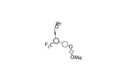 COC1CC(OC2CCC(c3cc(C#CCOC(C)C)cc(C(F)(F)F)c3)CC2)C1